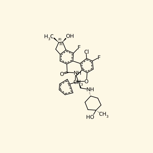 CNC(=O)c1cc2c(c(F)c1-c1c(Cl)c(F)cc3c1C[C@@](CN[C@H]1CC[C@](C)(O)CC1)(c1ccccc1)O3)[C@H](O)[C@H](C)C2